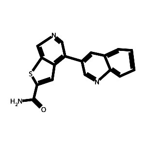 NC(=O)c1cc2c(-c3cnc4ccccc4c3)cncc2s1